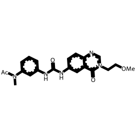 COCCn1cnc2ccc(NC(=O)Nc3cccc(N(C)C(C)=O)c3)cc2c1=O